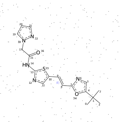 CC(C)(C)c1cnc(/C=C/c2cnc(NC(=O)Cn3cccn3)s2)o1